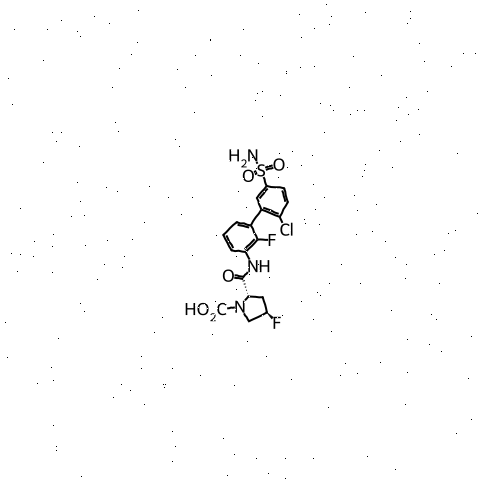 NS(=O)(=O)c1ccc(Cl)c(-c2cccc(NC(=O)[C@@H]3C[C@@H](F)CN3C(=O)O)c2F)c1